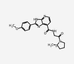 COc1ccc(-c2nc3c(C(=O)NCC(=O)N4CCC[C@H]4C)ccnc3[nH]2)cc1